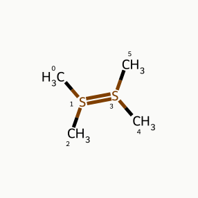 CS(C)=S(C)C